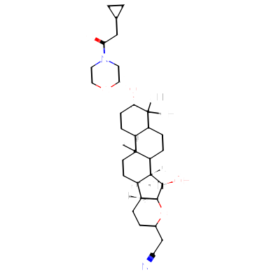 CC1(C)C2CCC3C4(CC[C@]5(C)[C@H]6CCC(CC#N)OC6[C@H](O)[C@@]35C)C[C@]24CC[C@@H]1O[C@H]1CN(C(=O)CC2CC2)CCO1